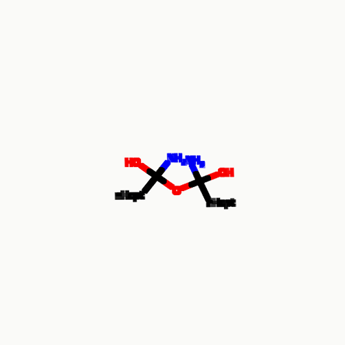 CCCCCCCC(N)(O)OC(N)(O)CCCCCCC